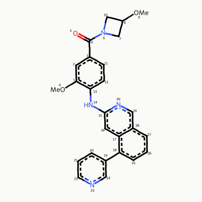 COc1cc(C(=O)N2CC(OC)C2)ccc1Nc1cc2c(-c3cccnc3)cccc2cn1